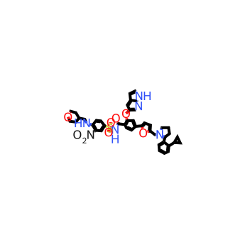 O=C(NS(=O)(=O)c1ccc(NCC2CCOCC2)c([N+](=O)[O-])c1)c1ccc(-c2ccc(CN3CCCC3c3ccccc3C3CC3)o2)cc1Oc1cnc2[nH]ccc2c1